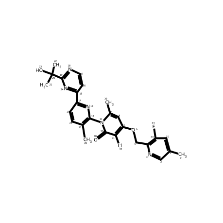 Cc1cnc(COc2cc(C)n(-c3nc(-c4ccnc(C(C)(C)O)n4)ccc3C)c(=O)c2Cl)c(F)c1